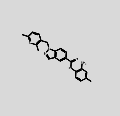 Cc1ccc(NC(=O)c2ccc3c(cnn3Cc3ccc(C)nc3C)c2)c(N)c1